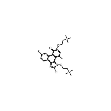 Cc1cn(OCC[Si](C)(C)C)c(=O)c2c3cc(F)ccc3c3nc(Cl)n(OCC[Si](C)(C)C)c3c12